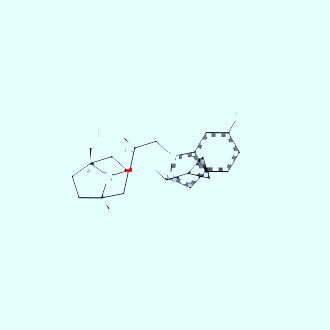 C[C@H](CN1[C@@H]2CC[C@H]1C[C@@H](OCC1CC1)C2)Cn1ncc2ccc(C(F)(F)F)cc21